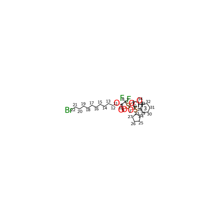 CS(OS(=O)(=O)C(F)(F)C(=O)OCCCCCCCCCCBr)(C1CCCC1)C1CCCCC1=O